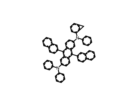 c1ccc(N(c2ccccc2)c2ccc3c(-c4ccc5ccccc5c4)c4cc(N(c5ccccc5)c5cccc6c5C6)ccc4c(-c4ccc5ccccc5c4)c3c2)cc1